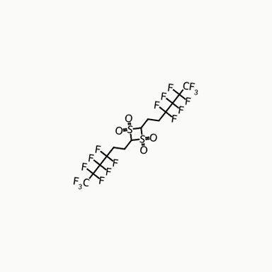 O=S1(=O)C(CCC(F)(F)C(F)(F)C(F)(F)C(F)(F)F)S(=O)(=O)C1CCC(F)(F)C(F)(F)C(F)(F)C(F)(F)F